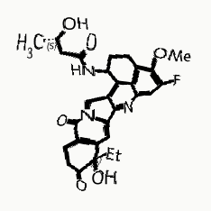 CC[C@@]1(O)C(=O)CCc2c1cc1n(c2=O)Cc2c-1nc1cc(F)c(OC)c3c1c2C(NC(=O)C[C@H](C)O)CC3